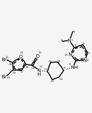 CN(C)c1ccnc(N[C@H]2CC[C@@H](NC(=O)c3cc(Br)c(Br)o3)CC2)n1